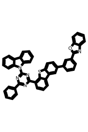 c1ccc(-c2nc(-c3cccc4c3sc3ccc(-c5cccc(-c6nc7ccccc7o6)c5)cc34)nc(-n3c4ccccc4c4ccccc43)n2)cc1